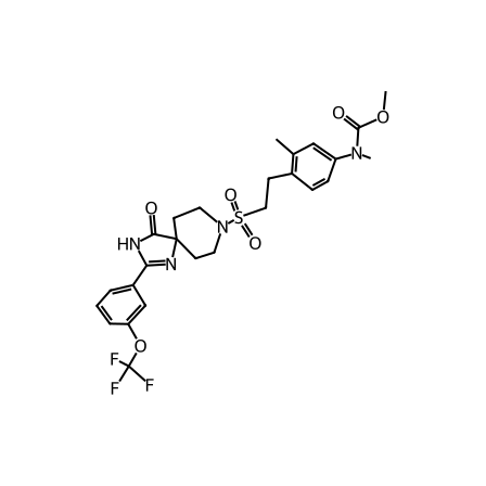 COC(=O)N(C)c1ccc(CCS(=O)(=O)N2CCC3(CC2)N=C(c2cccc(OC(F)(F)F)c2)NC3=O)c(C)c1